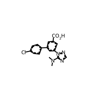 CN(C)c1ncnn1-c1cc(C(=O)O)cc(-c2ccc(Cl)cc2)c1